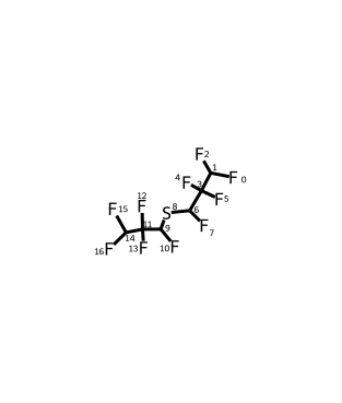 FC(F)C(F)(F)C(F)SC(F)C(F)(F)C(F)F